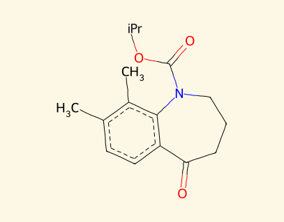 Cc1ccc2c(c1C)N(C(=O)OC(C)C)CCCC2=O